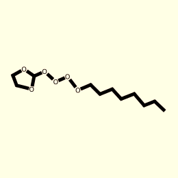 CCCCCCCCOOOOC1OCCO1